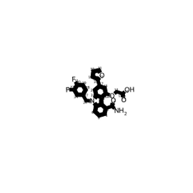 NC(=O)c1cccc2c1c1c(OCC(=O)O)cc(-c3ccco3)cc1n2Cc1ccc(F)c(F)c1